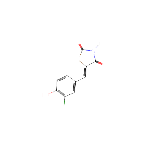 CCCN1C(=O)S/C(=C\c2ccc(O)c(Br)c2)C1=O